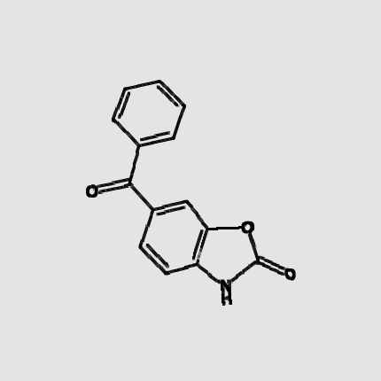 O=C(c1ccccc1)c1ccc2[nH]c(=O)oc2c1